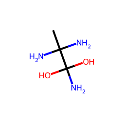 CC(N)(N)C(N)(O)O